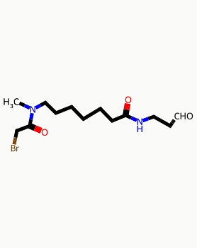 CN(CCCCCCC(=O)NCCC=O)C(=O)CBr